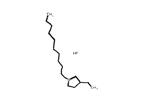 CCCCCCCCCCN1CCC(CC)C1.F